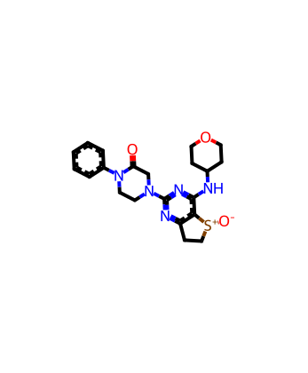 O=C1CN(c2nc3c(c(NC4CCOCC4)n2)[S+]([O-])CC3)CCN1c1ccccc1